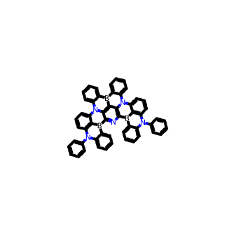 c1ccc(N2c3ccccc3B3c4nc5c6c7c4N(c4ccccc4B7c4ccccc4N6c4cccc6c4B5c4ccccc4N6c4ccccc4)c4cccc2c43)cc1